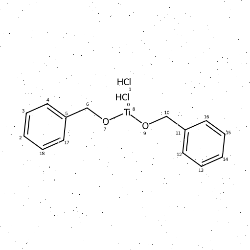 Cl.Cl.c1ccc(C[O][Ti][O]Cc2ccccc2)cc1